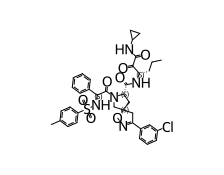 CCC[C@H](NC(=O)[C@@H]1C[C@]2(CC(c3cccc(Cl)c3)=NO2)CN1C(=O)[C@@H](NS(=O)(=O)c1ccc(C)cc1)c1ccccc1)C(=O)C(=O)NC1CC1